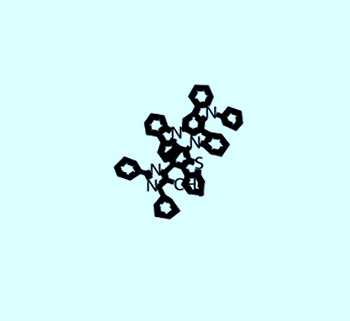 Cc1c(-c2ccccc2)nc(-c2ccccc2)nc1-c1ccc(-n2c3ccccc3c3c2c(-n2c4ccccc4c4ccccc42)cc2c4ccccc4n(-c4ccccc4)c23)c2sc3ccccc3c12